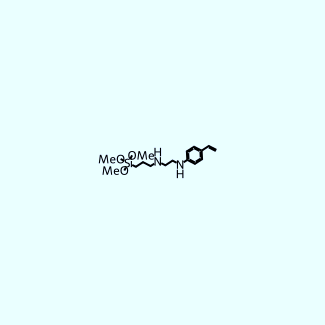 C=Cc1ccc(NCCNCCC[Si](OC)(OC)OC)cc1